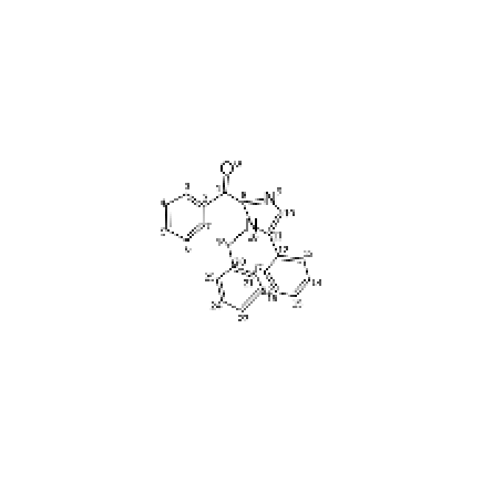 O=C(c1ccccc1)c1ncc(-c2ccccc2)n1Cc1ccccc1